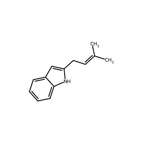 CC(C)=CCc1cc2ccccc2[nH]1